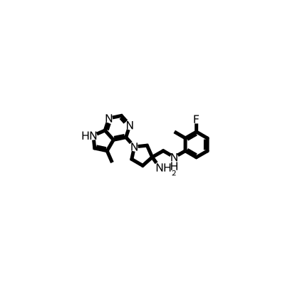 Cc1c(F)cccc1NCC1(N)CCN(c2ncnc3[nH]cc(C)c23)C1